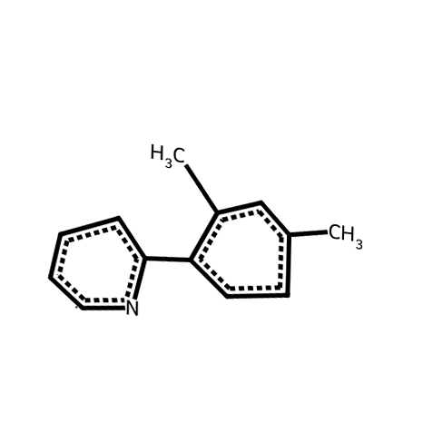 Cc1ccc(-c2ccc[c]n2)c(C)c1